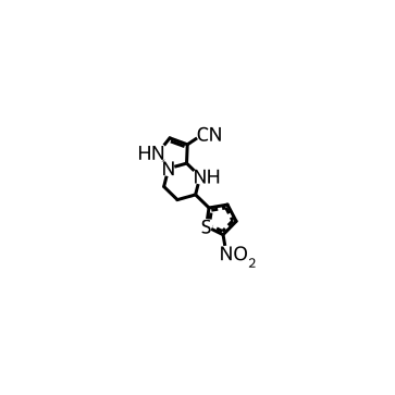 N#CC1=CNN2CCC(c3ccc([N+](=O)[O-])s3)NC12